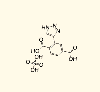 O=C(O)c1ccc(C(=O)O)c(-c2c[nH]nn2)c1.O=S(=O)(O)O